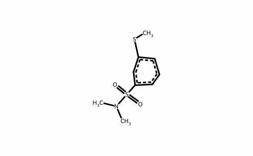 CSc1cccc(S(=O)(=O)N(C)C)c1